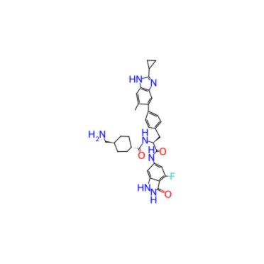 Cc1cc2[nH]c(C3CC3)nc2cc1-c1ccc(C[C@H](NC(=O)[C@H]2CC[C@H](CN)CC2)C(=O)Nc2cc(F)c3c(=O)[nH][nH]c3c2)cc1